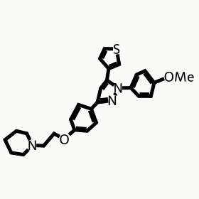 COc1ccc(-n2nc(-c3ccc(OCCN4CCCCC4)cc3)cc2-c2ccsc2)cc1